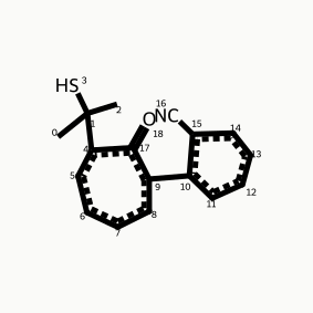 CC(C)(S)c1ccccc(-c2ccccc2C#N)c1=O